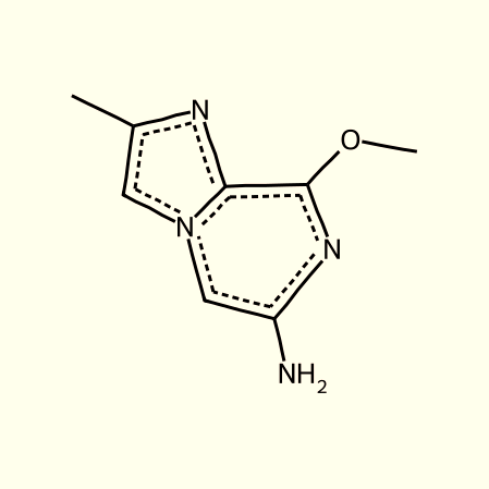 COc1nc(N)cn2cc(C)nc12